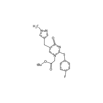 Cn1cc(Cc2cn(CC(=O)OC(C)(C)C)c(Sc3ccc(F)cc3)nc2=O)cn1